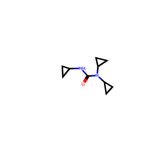 O=C(NC1CC1)N(C1CC1)C1CC1